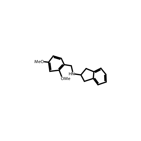 COc1ccc(CNC2Cc3ccccc3C2)c(OC)c1